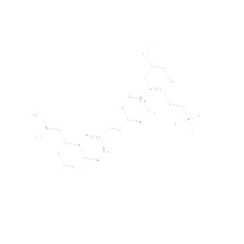 COc1ccc(CCC(F)(F)F)c(N2CCC(COc3cc4c(cn3)OCCC4CC(=O)O)CC2)c1